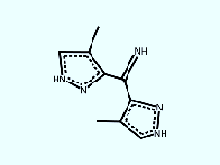 Cc1c[nH]nc1C(=N)c1n[nH]cc1C